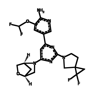 Nc1ncc(-c2cc(N3C[C@@H]4C[C@H]3CO4)nc(N3CCC4(C3)CC4(F)F)n2)cc1OC(F)F